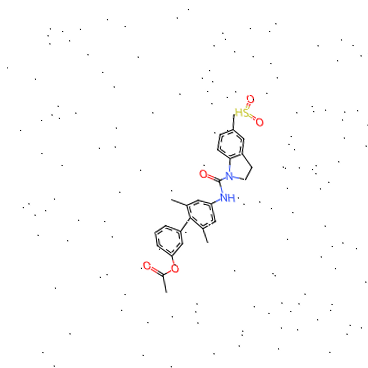 CC(=O)Oc1cccc(-c2c(C)cc(NC(=O)N3CCc4cc(C[SH](=O)=O)ccc43)cc2C)c1